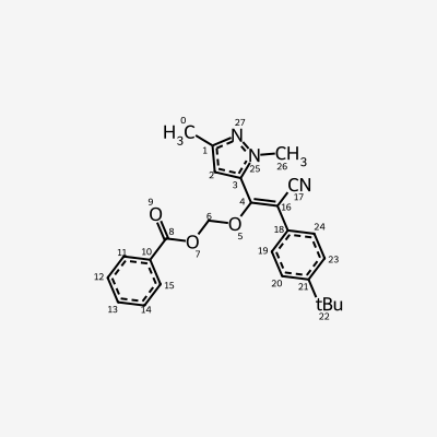 Cc1cc(/C(OCOC(=O)c2ccccc2)=C(\C#N)c2ccc(C(C)(C)C)cc2)n(C)n1